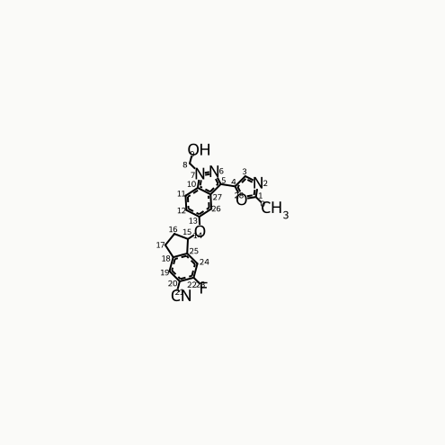 Cc1ncc(-c2nn(CO)c3ccc(OC4CCc5cc(C#N)c(F)cc54)cc23)o1